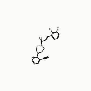 N#Cc1cccnc1N1CCN(C(=O)C=Cc2cccc(Cl)c2F)CC1